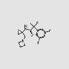 CC(F)(C(=O)NC1(CN2CCC2)CC1)c1cc(F)cc(F)c1